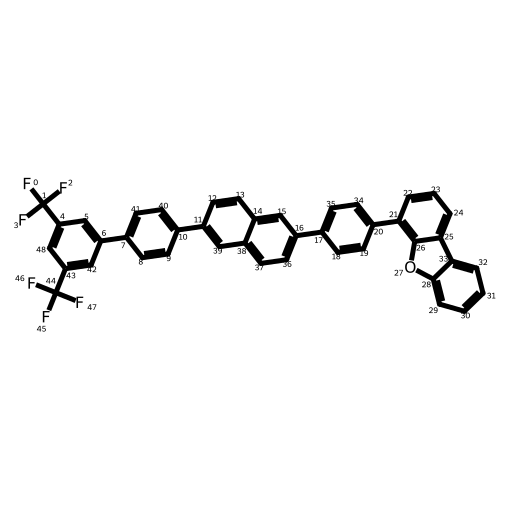 FC(F)(F)c1cc(-c2ccc(-c3ccc4cc(-c5ccc(-c6cccc7c6oc6ccccc67)cc5)ccc4c3)cc2)cc(C(F)(F)F)c1